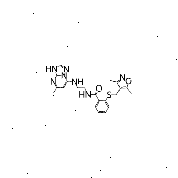 CC1=NC2NC=NN2C(NCCNC(=O)c2ccccc2SCc2c(C)noc2C)=C1